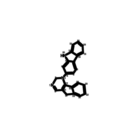 C1=NCN(c2ccc3c(c2)[nH]c2ccccc23)C2=C1Cc1ccccc12